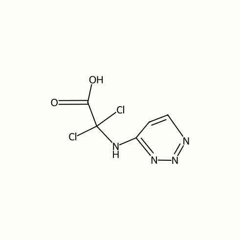 O=C(O)C(Cl)(Cl)Nc1ccnnn1